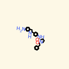 Nc1ccc2c(c1)NC(c1ccc(NC(=O)[C@@H]3CCCN3C(=O)Cc3ccccc3)cc1)C2